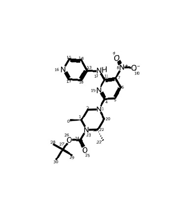 C[C@H]1CN(c2ccc([N+](=O)[O-])c(Nc3ccncc3)n2)C[C@H](C)N1C(=O)OC(C)(C)C